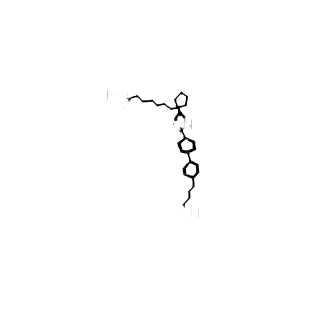 CCCCCc1ccc(-c2ccc(-c3ncc(C4(CCCCCCC(=O)O)CCCC4)cn3)cc2)cc1